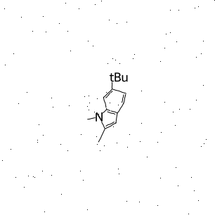 Cc1cc2ccc(C(C)(C)C)cc2n1C